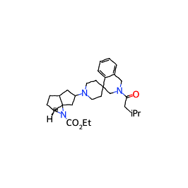 CCOC(=O)N1[C@@H]2CCC3CC(N4CCC5(CC4)CN(C(=O)CC(C)C)Cc4ccccc45)CC321